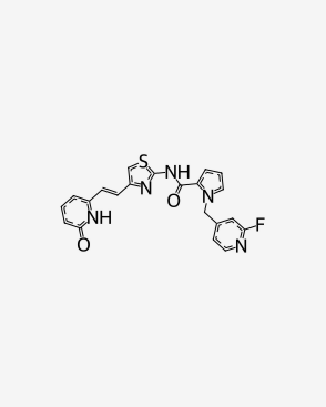 O=C(Nc1nc(/C=C/c2cccc(=O)[nH]2)cs1)c1cccn1Cc1ccnc(F)c1